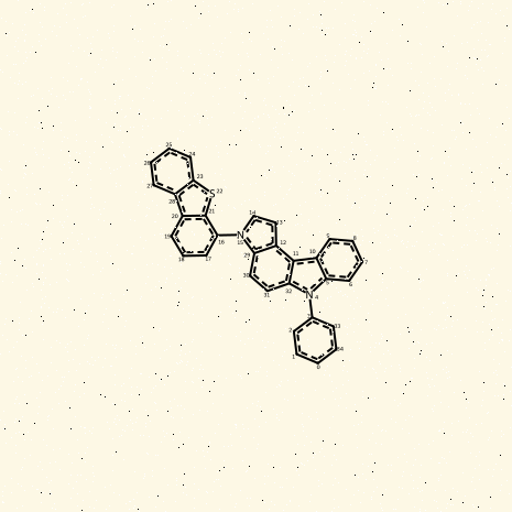 c1ccc(-n2c3ccccc3c3c4ccn(-c5cccc6c5sc5ccccc56)c4ccc32)cc1